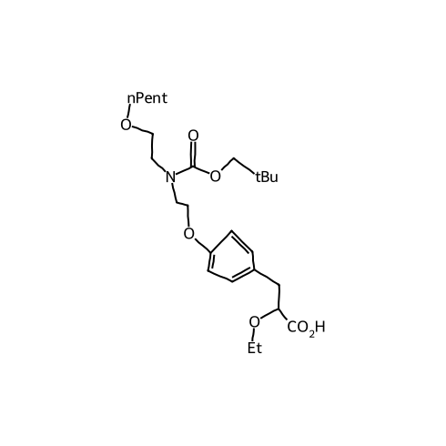 CCCCCOCCN(CCOc1ccc(CC(OCC)C(=O)O)cc1)C(=O)OCC(C)(C)C